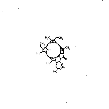 C=Cc1c(C)c2cc3nc(c4c5[nH]c(cc6nc(cc1[nH]2)C(C)=C6CC)c(C)c5C(=O)C4C(=O)OC)[C@@H](CCC(=O)O)C3C